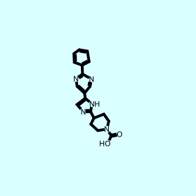 O=C(O)N1CCC(c2ncc(-c3cnc(-c4ccccc4)nc3)[nH]2)CC1